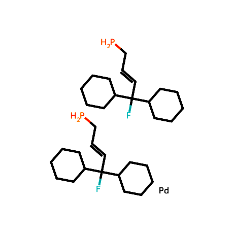 FC(C=CCP)(C1CCCCC1)C1CCCCC1.FC(C=CCP)(C1CCCCC1)C1CCCCC1.[Pd]